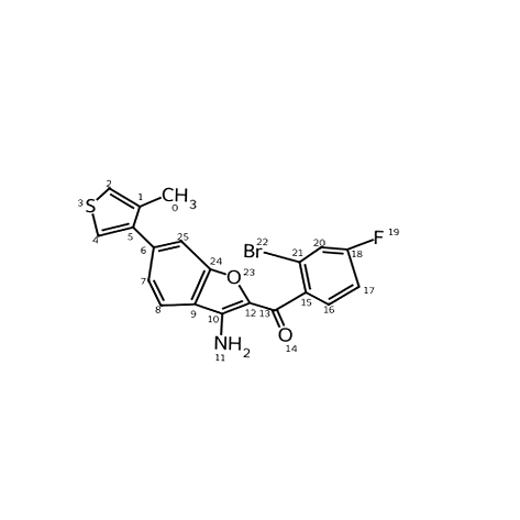 Cc1cscc1-c1ccc2c(N)c(C(=O)c3ccc(F)cc3Br)oc2c1